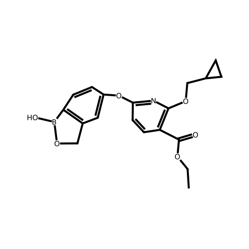 CCOC(=O)c1ccc(Oc2ccc3c(c2)COB3O)nc1OCC1CC1